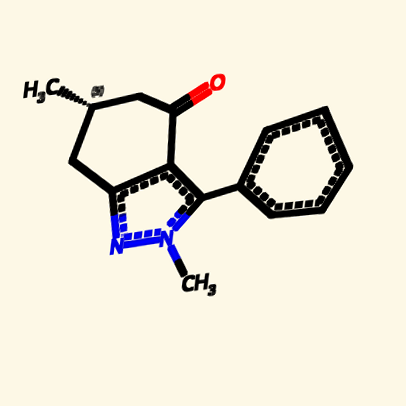 C[C@@H]1CC(=O)c2c(nn(C)c2-c2ccccc2)C1